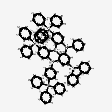 c1ccc(N2c3ccc([Si](c4ccccc4)(c4ccccc4)c4ccccc4)cc3B3c4cc([Si](c5ccccc5)(c5ccccc5)c5ccccc5)ccc4N(c4ccc([Si](c5ccccc5)(c5ccccc5)c5ccccc5)cc4)c4cc(-n5c6ccccc6c6ccccc65)cc2c43)cc1